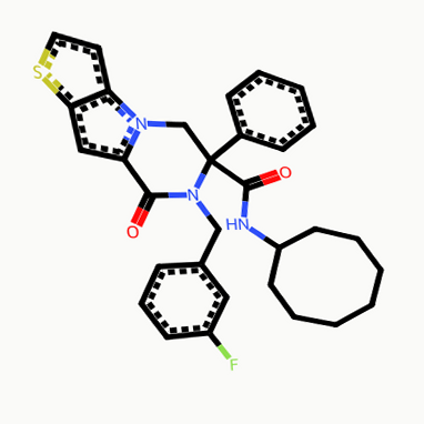 O=C1c2cc3sccc3n2CC(C(=O)NC2CCCCCCC2)(c2ccccc2)N1Cc1cccc(F)c1